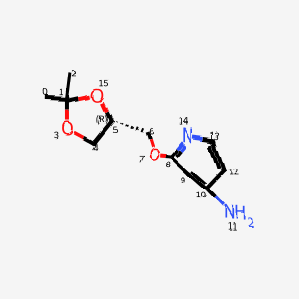 CC1(C)OC[C@@H](COc2cc(N)ccn2)O1